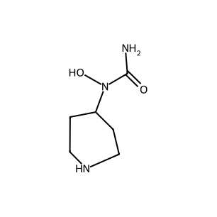 NC(=O)N(O)C1CCNCC1